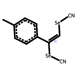 Cc1ccc(/C(=C\[Se]C#N)[Se]C#N)cc1